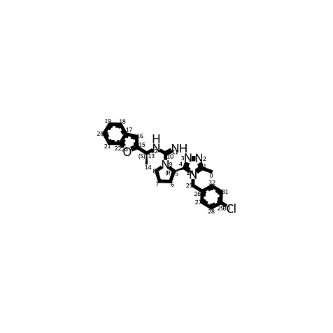 Cc1nnc([C@H]2CCCN2C(=N)N[C@@H](C)c2cc3ccccc3o2)n1Cc1ccc(Cl)cc1